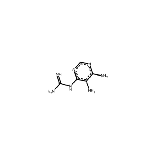 N=C(N)Nc1ncnc(N)c1N